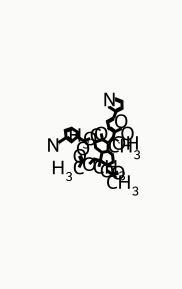 CC(=O)OCC1(C)C2C[C@H](OC(=O)c3cccc(C#N)c3)[C@@]3(C)Oc4cc(-c5cccnc5)oc(=O)c4[C@H](O)C3[C@@]2(C)CC[C@@H]1OC(C)=O